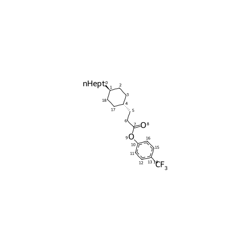 CCCCCCC[C@H]1CC[C@H](CCC(=O)Oc2ccc(C(F)(F)F)cc2)CC1